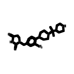 CC(C)(C1CCNCC1)N1CCN(c2ccc(CN3CCC(=O)NC3=O)cc2C(F)(F)F)CC1